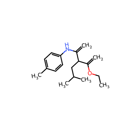 C=C(Nc1ccc(C)cc1)C(CC(C)C)C(=C)OCC